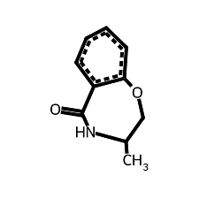 CC1COc2ccccc2C(=O)N1